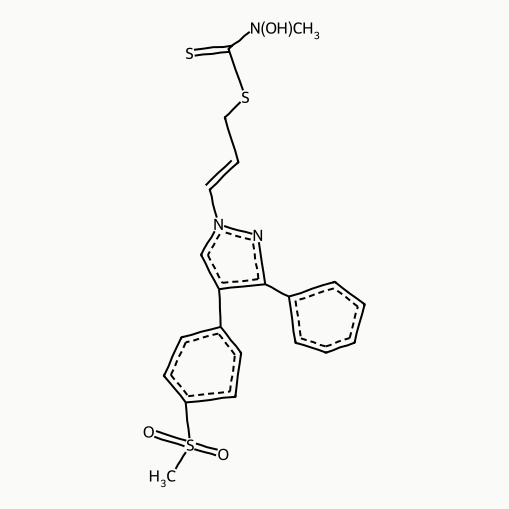 CN(O)C(=S)SCC=Cn1cc(-c2ccc(S(C)(=O)=O)cc2)c(-c2ccccc2)n1